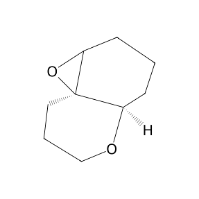 C1CC2O[C@@]23CCCO[C@@H]3C1